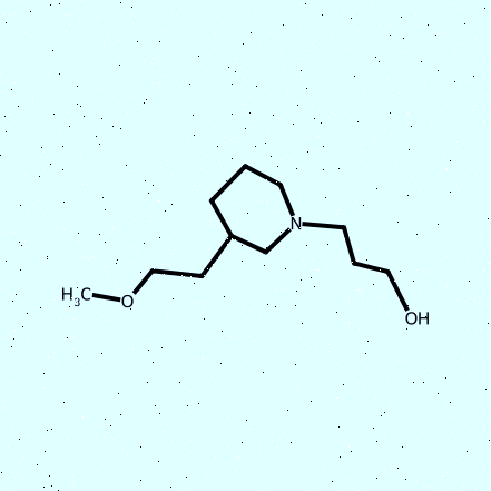 COCCC1CCCN(CCCO)C1